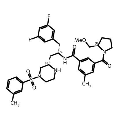 COC[C@H]1CCCN1C(=O)c1cc(C)cc(C(=O)N[C@@H](Cc2cc(F)cc(F)c2)C[C@H]2CN(S(=O)(=O)c3cccc(C)c3)CCN2)c1